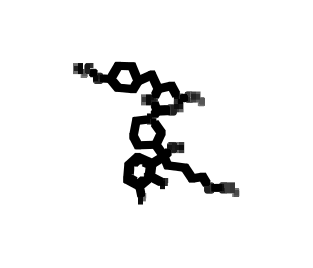 CNCC(CC1CCC(OC)CC1)NC(=O)N1CCCC(C(O)(CCCCOC)c2cccc(F)c2F)C1